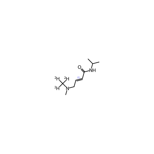 [2H]C([2H])([2H])N(C)C/C=C/C(=O)NC(C)C